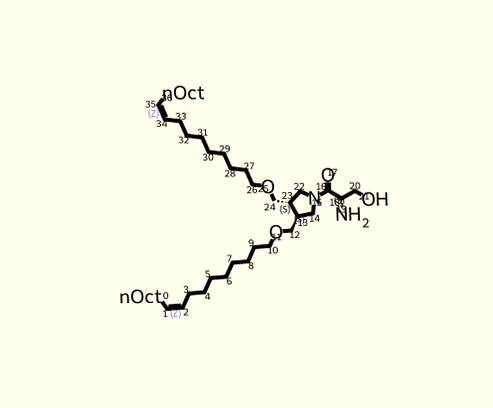 CCCCCCCC/C=C\CCCCCCCCOC[C@@H]1CN(C(=O)[C@@H](N)CO)C[C@H]1COCCCCCCCC/C=C\CCCCCCCC